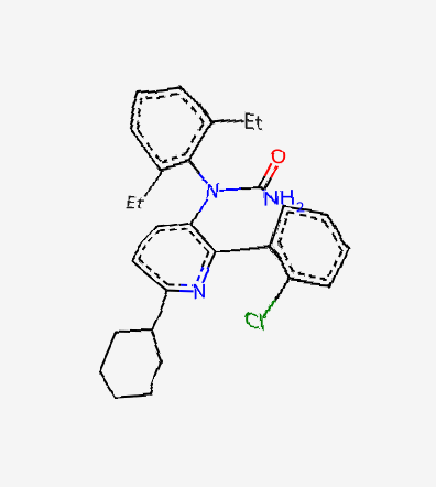 CCc1cccc(CC)c1N(C(N)=O)c1ccc(C2CCCCC2)nc1-c1ccccc1Cl